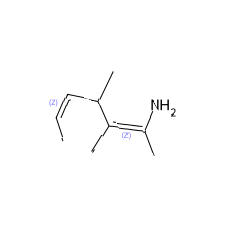 C/C=C\C(C)/C(C)=C(/C)N